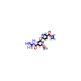 CC(C)Oc1cc(C(=O)NC(=N)S)cc(Oc2ccc(C(=O)N3CCC3)cn2)n1